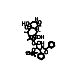 CC1=C2[C@@H](C)C(=O)[C@@]3(C)[C@H]([C@H](C)[C@](O)(C[C@@H]1OC(=O)[C@H](O[Si](C)(C)C(C)(C)C)[C@@H](NC(=O)c1ccccc1)c1ccccc1)C2(C)C)[C@]1(C)CO[C@@H]1C[C@@H]3O